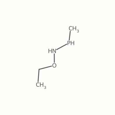 CCONPC